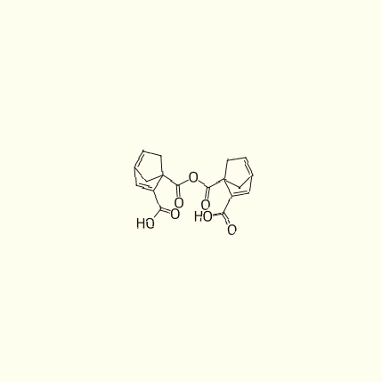 O=C(O)C1=CC2=CCC1(C(=O)OC(=O)C13CC=C(C=C1C(=O)O)C3)C2